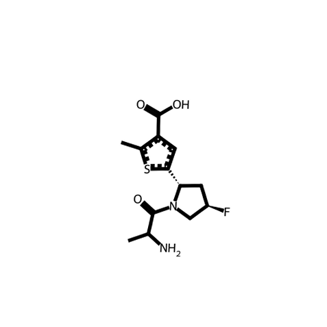 Cc1sc([C@@H]2C[C@@H](F)CN2C(=O)C(C)N)cc1C(=O)O